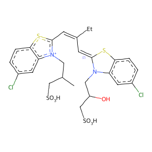 CCC(=Cc1sc2ccc(Cl)cc2[n+]1CC(C)CS(=O)(=O)O)/C=C1\Sc2ccc(Cl)cc2N1CC(O)CS(=O)(=O)O